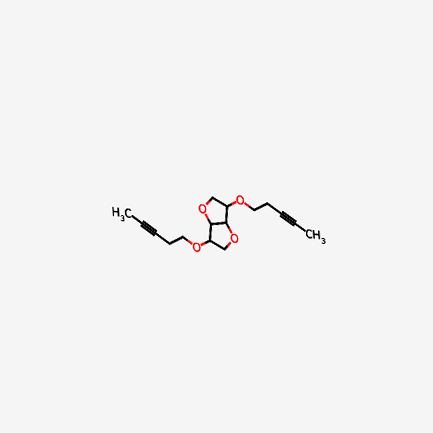 CC#CCCOC1COC2C(OCCC#CC)COC12